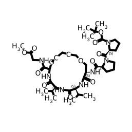 COC(=O)CNC(=O)C1NC(=O)[C@H](C(C)C)NC(=O)[C@H](C(C)C)NC(=O)[C@@H](NC(=O)[C@@H]2CCCN2C(=O)[C@@H]2CCCN2C(=O)OC(C)(C)C)COCCCCO1